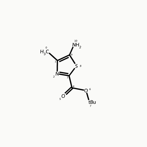 Cc1nc(C(=O)OC(C)(C)C)sc1N